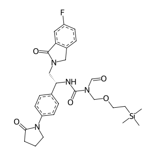 C[Si](C)(C)CCOCN(C=O)C(=O)N[C@@H](CN1Cc2ccc(F)cc2C1=O)c1ccc(N2CCCC2=O)cc1